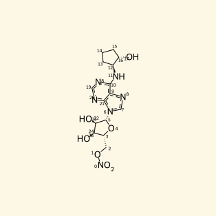 O=[N+]([O-])OC[C@H]1O[C@@H](n2cnc3c(N[C@H]4CCC[C@@H]4O)ncnc32)[C@H](O)[C@@H]1O